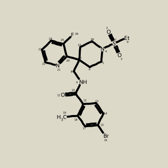 CCS(=O)(=O)N1CCC(CNC(=O)c2ccc(Br)cc2C)(c2ncccc2F)CC1